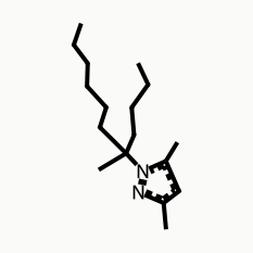 CCCCCCC(C)(CCCC)n1nc(C)cc1C